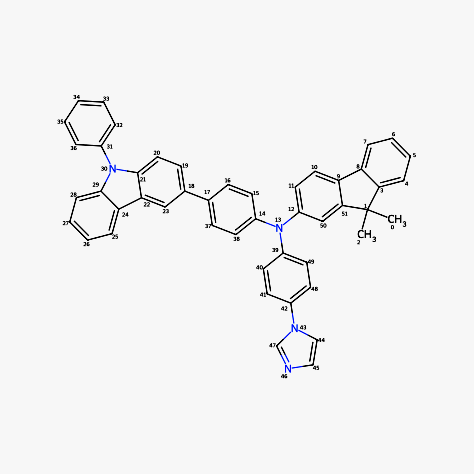 CC1(C)c2ccccc2-c2ccc(N(c3ccc(-c4ccc5c(c4)c4ccccc4n5-c4ccccc4)cc3)c3ccc(-n4ccnc4)cc3)cc21